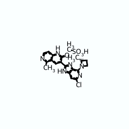 CS(=O)(=O)O.Cc1nccc2[nH]c(=O)c(-c3nc4c(N5CC[C@H]5C)nc(Cl)cc4[nH]3)cc12